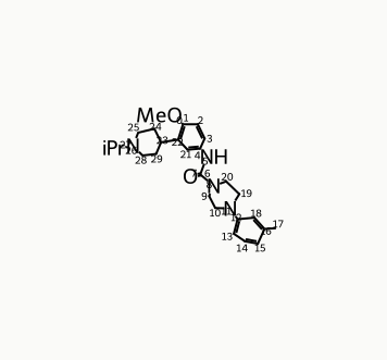 COc1ccc(NC(=O)N2CCN(c3cccc(C)c3)CC2)cc1C1CCN(C(C)C)CC1